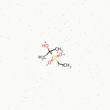 CCS(=O)(=O)C(C)(C)O